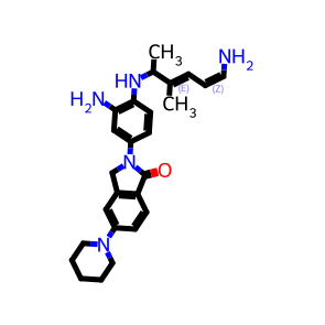 C/C(=C\C=C/N)C(C)Nc1ccc(N2Cc3cc(N4CCCCC4)ccc3C2=O)cc1N